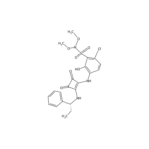 CC[C@@H](Nc1c(Nc2ccc(Cl)c(S(=O)(=O)N(OC)OC)c2O)c(=O)c1=O)c1ccccc1